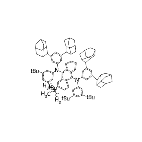 CC(C)(C)c1cc(N(c2cc(C3C4CC5CC(C4)CC3C5)cc(C3C4CC5CC(C4)CC3C5)c2)c2c3ccccc3c(N(c3cc(C4C5CC6CC(C5)CC4C6)cc(C4C5CC6CC(C5)CC4C6)c3)c3cc(C(C)(C)C)cc(C(C)(C)C)c3)c3cc([Si](C)(C)C)ccc23)cc(C(C)(C)C)c1